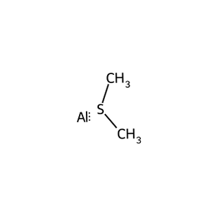 CSC.[Al]